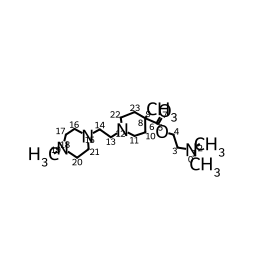 CN(C)CCOC(=O)C1(C)CCN(CCN2CCN(C)CC2)CC1